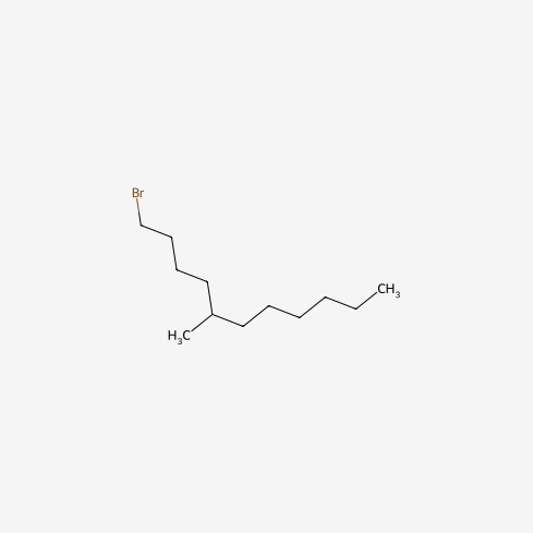 CCCCCCC(C)CCCCBr